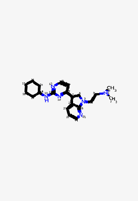 CN(C)CCN1CC(c2ccnc(NC3CCCCC3)n2)c2cccnc21